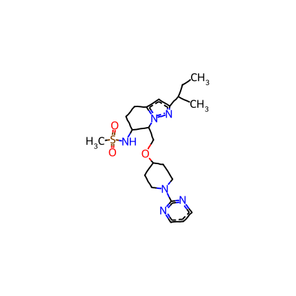 CCC(C)c1cc2n(n1)C(COC1CCN(c3ncccn3)CC1)C(NS(C)(=O)=O)CC2